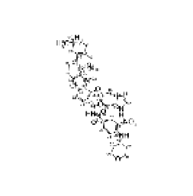 CC1(C)CCC(CN2CCN(c3cccc(C(=O)NS(=O)(=O)c4ccc(NC5CCOCC5)c([N+](=O)[O-])c4)c3Oc3cnc4[nH]ccc4c3)CC2)=C(c2ccc(C(F)(F)F)cc2Cl)C1